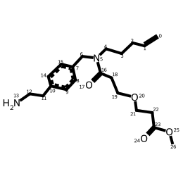 C=CCCCN(Cc1ccc(CCN)cc1)C(=O)CCOCCC(=O)OC